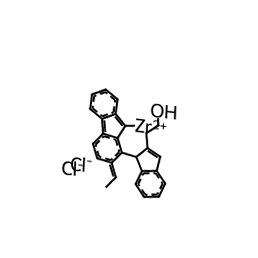 CC=c1ccc2c(c1C1C(CCO)=Cc3ccccc31)[C]([Zr+2])=c1ccccc1=2.[Cl-].[Cl-]